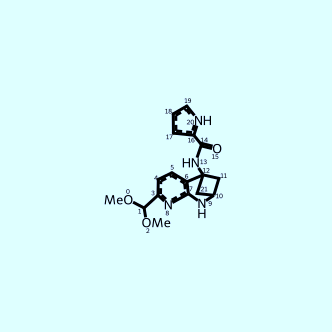 COC(OC)c1ccc2c(n1)NC1CC2(NC(=O)c2ccc[nH]2)C1